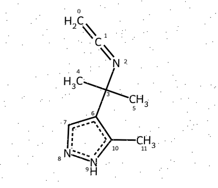 C=C=NC(C)(C)c1cn[nH]c1C